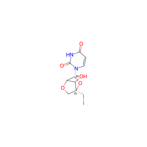 O=c1ccn([C@@H]2O[C@@]3(CI)COC2C3O)c(=O)[nH]1